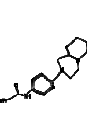 CCCC(=O)Nc1ccc(N2CCN3CCCCC3C2)cc1